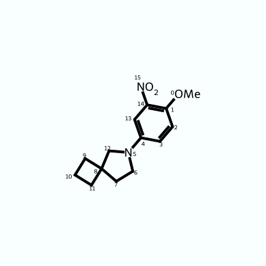 COc1ccc(N2CCC3(CCC3)C2)cc1[N+](=O)[O-]